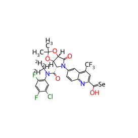 [2H]C([2H])([2H])N(C(=O)[C@@H]1[C@@H]2OC(C)(C)O[C@@H]2C(=O)N1c1ccc2nc(C(O)=[Se])cc(C(F)(F)F)c2c1)c1cc(Cl)c(F)cc1F